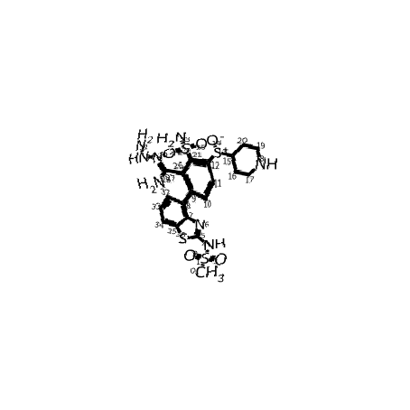 CS(=O)(=O)Nc1nc2c(-c3ccc([S+]([O-])C4CCNCC4)c(S(N)(=O)=O)c3/C(N)=N/NN)cccc2s1